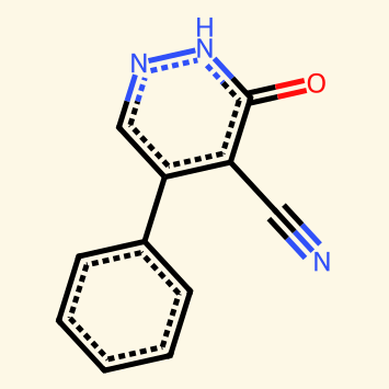 N#Cc1c(-c2ccccc2)cn[nH]c1=O